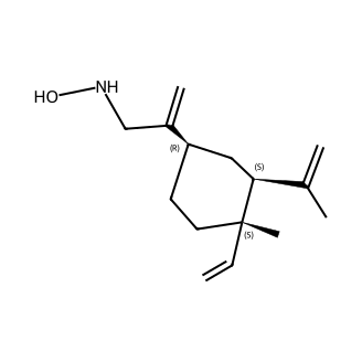 C=C[C@]1(C)CC[C@@H](C(=C)CNO)C[C@H]1C(=C)C